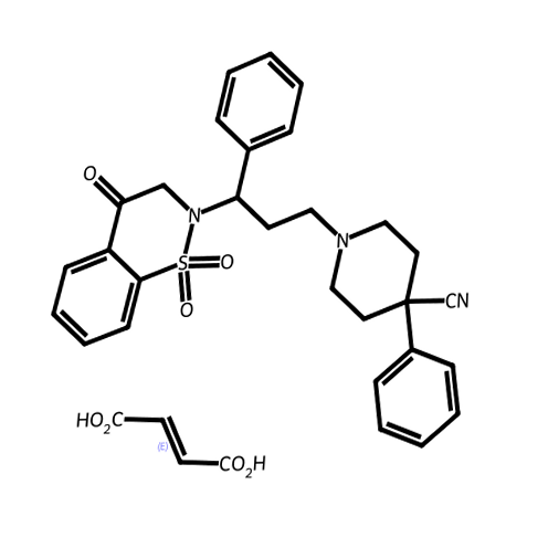 N#CC1(c2ccccc2)CCN(CCC(c2ccccc2)N2CC(=O)c3ccccc3S2(=O)=O)CC1.O=C(O)/C=C/C(=O)O